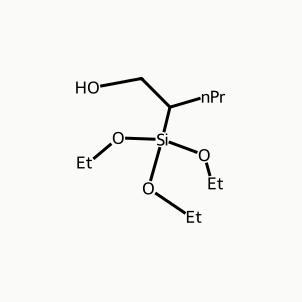 CCCC(CO)[Si](OCC)(OCC)OCC